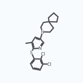 Cc1cc(N2CCC3(CCCC3)CC2)cnc1Sc1cccc(Cl)c1Cl